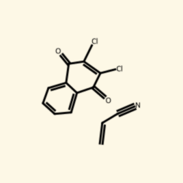 C=CC#N.O=C1C(Cl)=C(Cl)C(=O)c2ccccc21